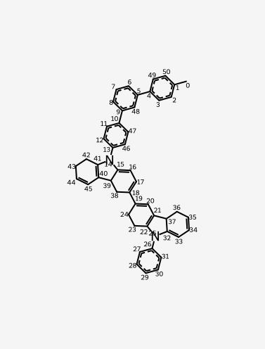 Cc1ccc(-c2cccc(-c3ccc(N4C5=CC=C(C6=CC7=C(CC6)N(c6ccccc6)C6=CC=CCC67)CC5C5=C4CCC=C5)cc3)c2)cc1